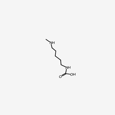 CNCCCCCNC(=O)O